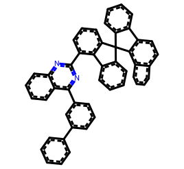 c1ccc(-c2cccc(-c3nc(-c4cccc5c4-c4ccccc4C54c5ccccc5-c5ccc6ccccc6c54)nc4ccccc34)c2)cc1